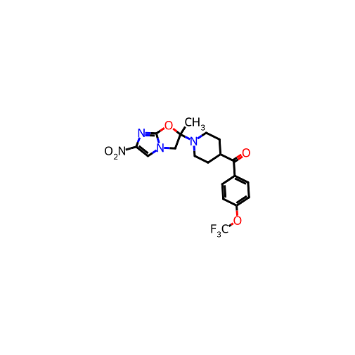 CC1(N2CCC(C(=O)c3ccc(OC(F)(F)F)cc3)CC2)Cn2cc([N+](=O)[O-])nc2O1